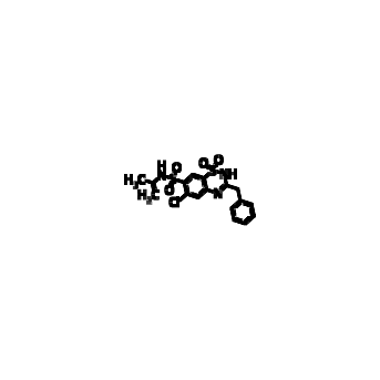 C=C(C)NS(=O)(=O)c1cc2c(cc1Cl)N=C(Cc1ccccc1)NS2(=O)=O